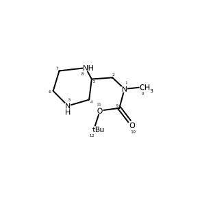 CN(CC1CNCCN1)C(=O)OC(C)(C)C